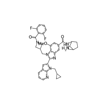 COc1cc(C(=O)N2CC3CCC2[C@@H]3N)cc2nc(-c3cc4cccnc4n3CC3CC3)n(CC3CN(C(=O)c4c(F)cccc4F)C3)c12